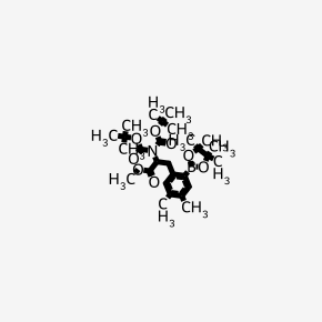 COC(=O)C(Cc1cc(C)c(C)cc1B1OC(C)(C)C(C)(C)O1)N(C(=O)OC(C)(C)C)C(=O)OC(C)(C)C